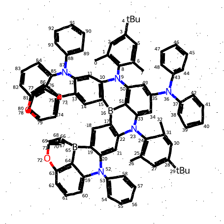 Cc1cc(C(C)(C)C)cc(C)c1N1c2cc3c(cc2B2c4cc5c(cc4N(c4c(C)cc(C(C)(C)C)cc4C)c4cc(N(c6ccccc6)c6ccccc6)cc1c42)N(c1ccccc1)c1cccc2c1B5c1ccccc1O2)B1c2ccccc2Oc2cccc(c21)N3c1ccccc1